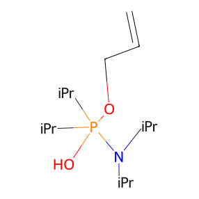 C=CCOP(O)(C(C)C)(C(C)C)N(C(C)C)C(C)C